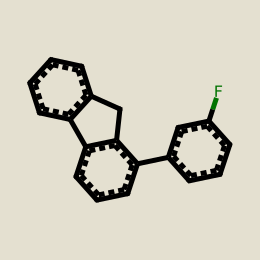 Fc1cccc(-c2cccc3c2Cc2ccccc2-3)c1